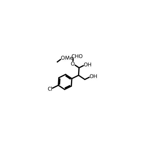 COC.O=COC(O)C(CO)c1ccc(Cl)cc1